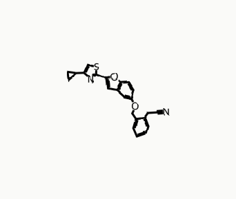 N#CCc1ccccc1COc1ccc2oc(-c3nc(C4CC4)cs3)cc2c1